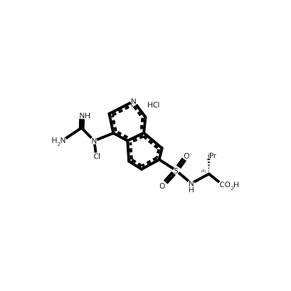 CC(C)[C@@H](NS(=O)(=O)c1ccc2c(N(Cl)C(=N)N)cncc2c1)C(=O)O.Cl